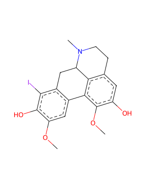 COc1cc2c(c(I)c1O)CC1c3c(cc(O)c(OC)c3-2)CCN1C